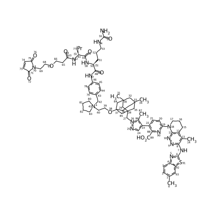 Cc1ccc2nc(Nc3nnc4c(c3C)CCCN4c3ccc(-c4cnn(CC56CC7(C)CC(C)(C5)CC(OCC[N+]5(Cc8ccc(NC(=O)[C@H](CCCNC(N)=O)NC(=O)[C@@H](NC(=O)CCOCCN9C(=O)C=CC9=O)C(C)C)cc8)CCCC5)(C7)C6)c4C)c(C(=O)O)n3)sc2c1